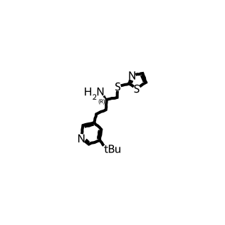 CC(C)(C)c1cncc(CC[C@@H](N)CSc2nccs2)c1